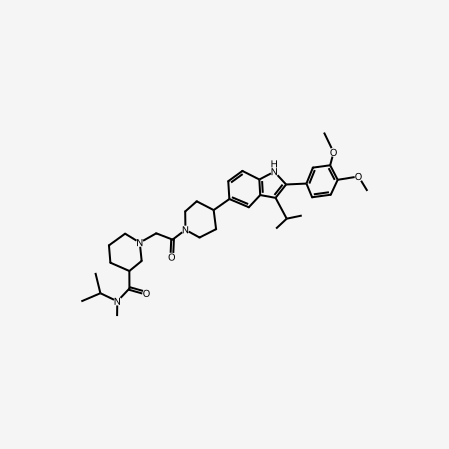 COc1ccc(-c2[nH]c3ccc(C4CCN(C(=O)CN5CCCC(C(=O)N(C)C(C)C)C5)CC4)cc3c2C(C)C)cc1OC